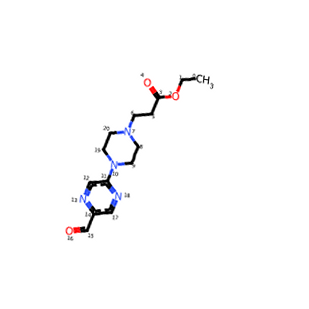 CCOC(=O)CCN1CCN(c2cnc(C=O)cn2)CC1